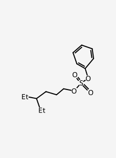 CCC(CC)CCCOS(=O)(=O)Oc1ccccc1